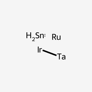 [Ru].[SnH2].[Ta][Ir]